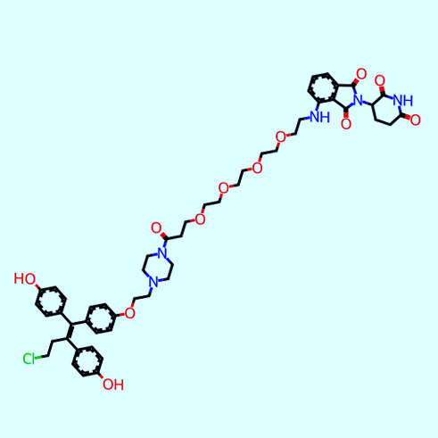 O=C1CCC(N2C(=O)c3cccc(NCCOCCOCCOCCOCCC(=O)N4CCN(CCOc5ccc(C(=C(CCCl)c6ccc(O)cc6)c6ccc(O)cc6)cc5)CC4)c3C2=O)C(=O)N1